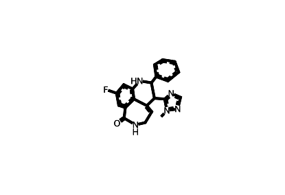 Cn1ncnc1C1C2=CCNC(=O)c3cc(F)cc(c32)NC1c1ccccc1